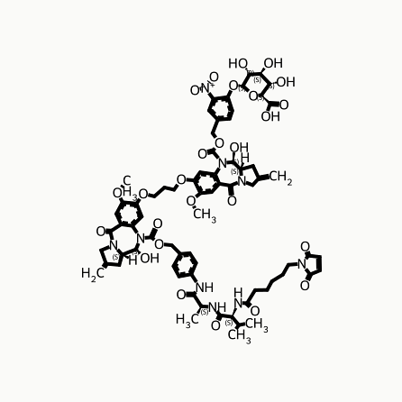 C=C1C[C@H]2[C@H](O)N(C(=O)OCc3ccc(NC(=O)[C@H](C)NC(=O)[C@@H](NC(=O)CCCCCN4C(=O)C=CC4=O)C(C)C)cc3)c3cc(OCCCOc4cc5c(cc4OC)C(=O)N4CC(=C)C[C@H]4[C@H](O)N5C(=O)OCc4ccc(O[C@@H]5O[C@H](C(=O)O)[C@@H](O)[C@H](O)[C@H]5O)c([N+](=O)[O-])c4)c(OC)cc3C(=O)N2C1